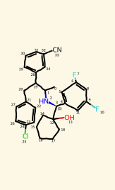 CC(N[C@@H](c1cc(F)cc(F)c1)C1(O)CCCCC1)C(Cc1ccc(Cl)cc1)c1cccc(C#N)c1